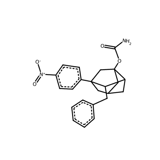 NC(=O)OC12CC3CC1C(Cc1ccccc1)C(c1ccc([N+](=O)[O-])cc1)(C3)C2